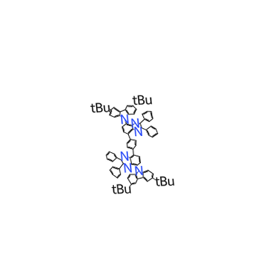 CC(C)(C)c1ccc2c(c1)c1cc(C(C)(C)C)ccc1n2-c1ccc(-c2ccc(-c3ccc(-n4c5ccc(C(C)(C)C)cc5c5cc(C(C)(C)C)ccc54)c4nc(-c5ccccc5)c(-c5ccccc5)nc34)cc2)c2nc(-c3ccccc3)c(-c3ccccc3)nc12